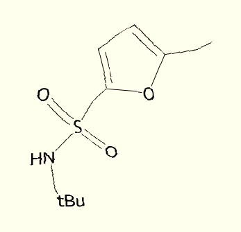 Cc1ccc(S(=O)(=O)NC(C)(C)C)o1